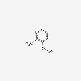 Cc1ncc[c]c1OC(C)C